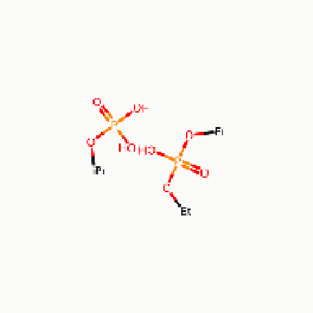 CC(C)OP(=O)(O)O.CCOP(=O)(O)OCC